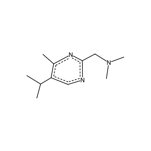 Cc1nc(CN(C)C)ncc1C(C)C